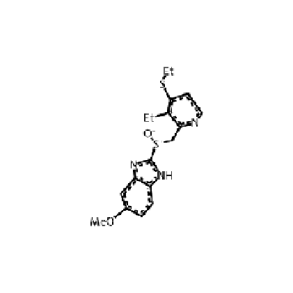 CCSc1ccnc(C[S+]([O-])c2nc3cc(OC)ccc3[nH]2)c1CC